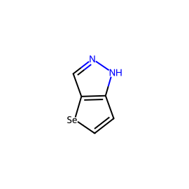 c1cc2[nH]ncc2[se]1